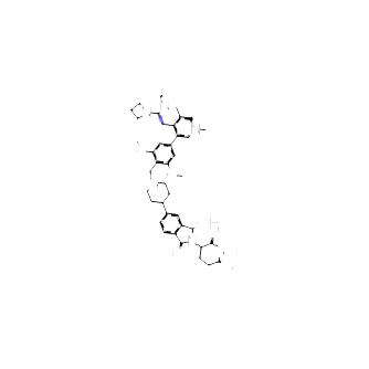 C=N/C(=C\c1c(-c2cc(OC)c(CN3CCC(c4ccc5c(c4)C(O)N(C4CCC(=O)NC4=O)C5=O)CC3)c(OC)c2)cn(C)c(=O)c1C)N1CCC1